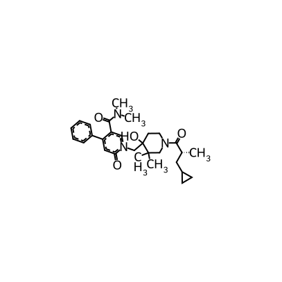 C[C@H](CC1CC1)C(=O)N1CCC(O)(Cn2cc(C(=O)N(C)C)c(-c3ccccc3)cc2=O)C(C)(C)C1